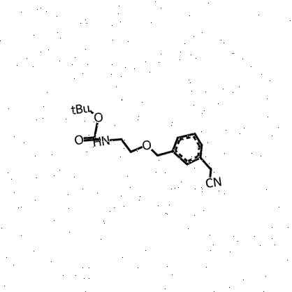 CC(C)(C)OC(=O)NCCOCc1cccc(CC#N)c1